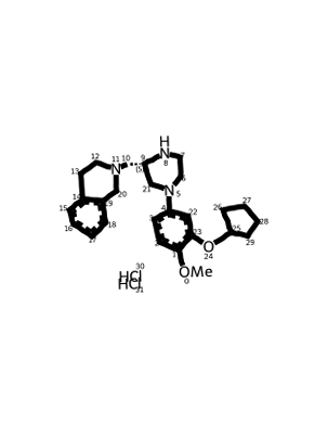 COc1ccc(N2CCN[C@@H](CN3CCc4ccccc4C3)C2)cc1OC1CCCC1.Cl.Cl